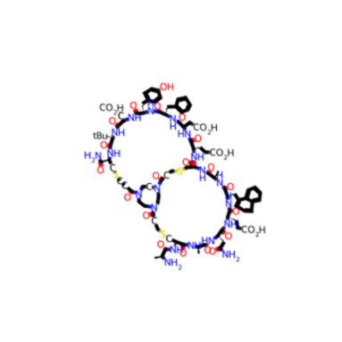 C[C@H](N)C(=O)N[C@H]1CSCCC(=O)N2CCN3CCN(CC2)C(=O)CCSC[C@@H](NC(=O)[C@@H](C)NC(=O)[C@H](Cc2cccc4ccccc24)NC(=O)[C@H](CCC(=O)O)NC(=O)[C@H](CC(N)=O)NC(=O)[C@@H](C)NC1=O)C(=O)N[C@@H](CCC(=O)O)C(=O)NC(CC(=O)O)C(=O)N[C@@H](Cc1ccccc1)C(=O)N[C@@H](Cc1ccc(O)cc1)C(=O)N[C@@H](CC(=O)O)C(=O)N[C@@H](C(C)(C)C)C(=O)N[C@H](C(N)=O)CSCCC3=O